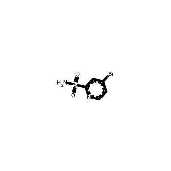 NS(=O)(=O)c1cc(Br)ccn1